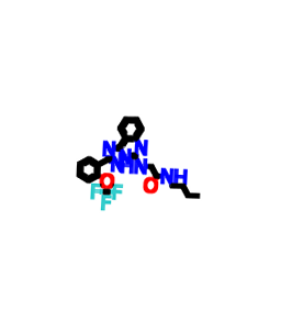 CCCCNC(=O)CNc1nc2ccccc2c2nc(-c3ccccc3OC(F)(F)F)nn12